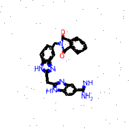 N=C(N)c1ccc2[nH]c(Cc3nc4cc(CN5C(=O)c6ccccc6C5=O)ccc4[nH]3)nc2c1